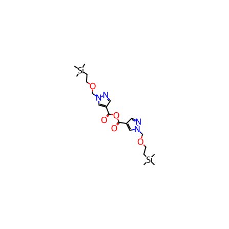 C[Si](C)(C)CCOCn1cc(C(=O)OC(=O)c2cnn(COCC[Si](C)(C)C)c2)cn1